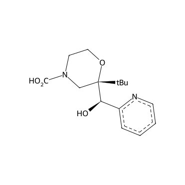 CC(C)(C)[C@@]1([C@H](O)c2ccccn2)CN(C(=O)O)CCO1